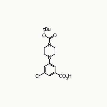 CC(C)(C)OC(=O)N1CCN(c2cc(Cl)cc(C(=O)O)c2)CC1